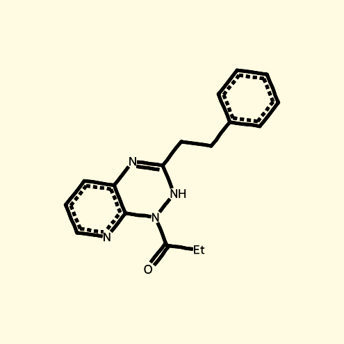 CCC(=O)N1NC(CCc2ccccc2)=Nc2cccnc21